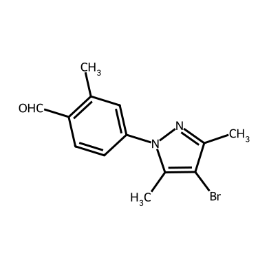 Cc1cc(-n2nc(C)c(Br)c2C)ccc1C=O